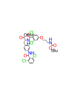 COC(=O)C(Cc1ccc(NC(=O)c2c(Cl)cccc2Cl)cc1)NC(=O)c1c(Cl)cc(OCCCNC(=O)OC(C)(C)C)cc1Cl